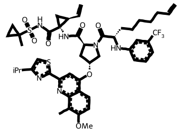 C=CCCCCC[C@H](Nc1cccc(C(F)(F)F)c1)C(=O)N1C[C@H](Oc2cc(-c3nc(C(C)C)cs3)nc3c(C)c(OC)ccc23)C[C@H]1C(=O)N[C@]1(C(=O)NS(=O)(=O)C2(C)CC2)C[C@H]1C=C